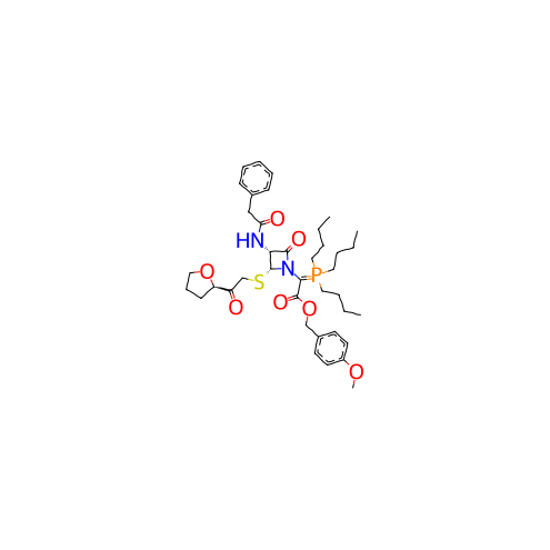 CCCCP(CCCC)(CCCC)=C(C(=O)OCc1ccc(OC)cc1)N1C(=O)[C@@H](NC(=O)Cc2ccccc2)[C@H]1SCC(=O)[C@H]1CCCO1